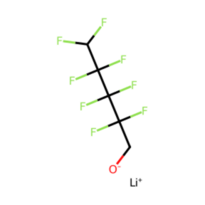 [Li+].[O-]CC(F)(F)C(F)(F)C(F)(F)C(F)F